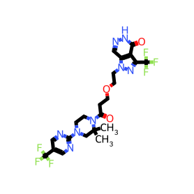 CC1(C)CN(c2ncc(C(F)(F)F)cn2)CCN1C(=O)CCOCCn1nc(C(F)(F)F)c2c(=O)[nH]ncc21